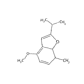 COC1=C2C=C(C(C)C)OC2C(C)C=C1